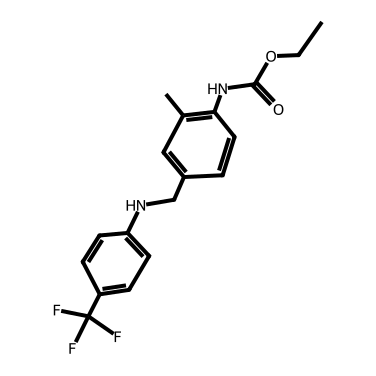 CCOC(=O)Nc1ccc(CNc2ccc(C(F)(F)F)cc2)cc1C